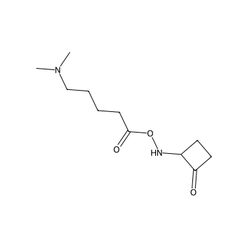 CN(C)CCCCC(=O)ONC1CCC1=O